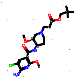 COc1nc(N)c(Cl)cc1C(=O)N[C@@H]1CCN(CCC(=O)OCC(C)(C)C)C[C@@H]1OC